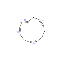 [C]1=C/C/C=C\CC/C=C\C\C=C/1